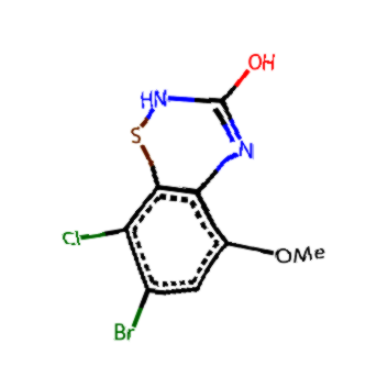 COc1cc(Br)c(Cl)c2c1N=C(O)NS2